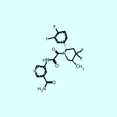 C[C@H]1CN(C(=O)C(=O)Nc2cncc(C(N)=O)c2)[C@H](c2ccc(F)c(F)c2)CC1(F)F